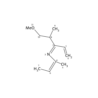 C=C/C(=N\C(C)=C/C)C(C)COC